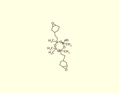 CCC[Si]1(C)O[Si](C)(CCC2CCC3OC3C2)O[Si](C)(C)O[Si](C)(CCC2CCC3OC3C2)O1